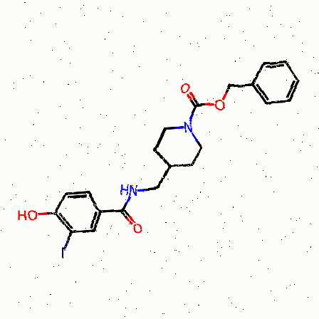 O=C(NCC1CCN(C(=O)OCc2ccccc2)CC1)c1ccc(O)c(I)c1